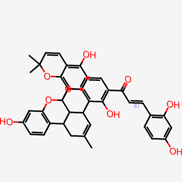 CC1=CC2c3c(ccc(C(=O)/C=C/c4ccc(O)cc4O)c3O)OC3(c4ccc(O)c5c4OC(C)(C)C=C5)Oc4cc(O)ccc4C(C1)C23